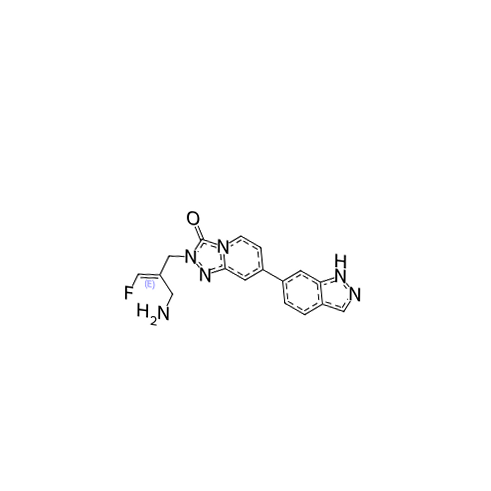 NC/C(=C\F)Cn1nc2cc(-c3ccc4cn[nH]c4c3)ccn2c1=O